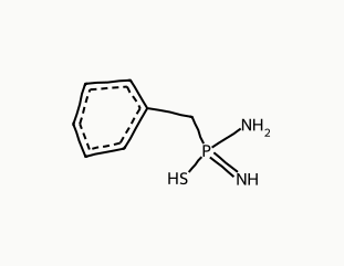 N=P(N)(S)Cc1ccccc1